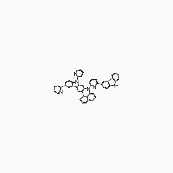 CC1(C)c2ccccc2-c2cc(-c3cccc(N4c5cc6c(cc5-c5cccc7cccc4c57)c4cc(-c5ccccn5)ccc4n6-c4ccccn4)n3)ccc21